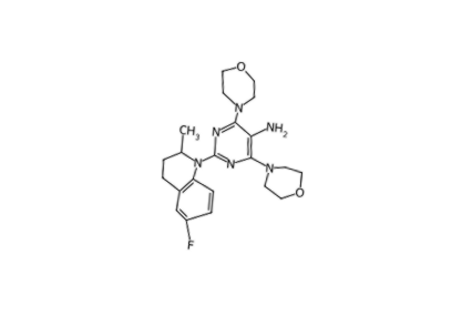 CC1CCc2cc(F)ccc2N1c1nc(N2CCOCC2)c(N)c(N2CCOCC2)n1